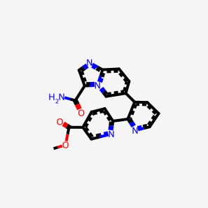 COC(=O)c1ccc(-c2ncccc2-c2ccc3ncc(C(N)=O)n3c2)nc1